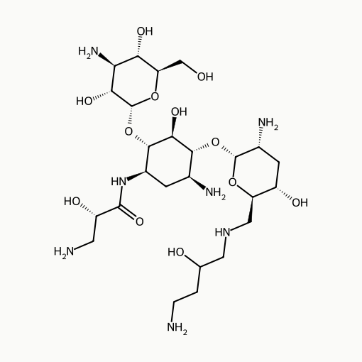 NCCC(O)CNC[C@H]1O[C@H](O[C@H]2[C@H](O)[C@@H](O[C@H]3O[C@H](CO)[C@@H](O)[C@H](N)[C@H]3O)[C@H](NC(=O)[C@@H](O)CN)C[C@@H]2N)[C@H](N)C[C@@H]1O